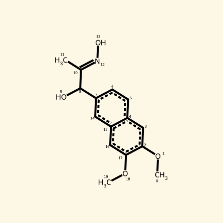 COc1cc2ccc(C(O)C(C)=NO)cc2cc1OC